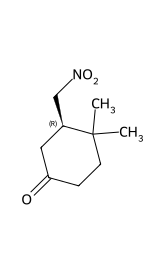 CC1(C)CCC(=O)C[C@H]1C[N+](=O)[O-]